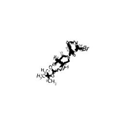 CC(C)(C)OC(=O)NC1CN(c2nnc(Br)s2)CC1(F)F